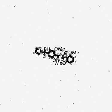 BC(B)(c1cc(OC)c2c(NS(=O)(=O)c3c(OC)cccc3OC)noc2c1)n1cccn1